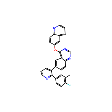 Cc1cc(-c2ncccc2-c2ccc3ncnc(Oc4ccc5ncccc5c4)c3c2)ccc1F